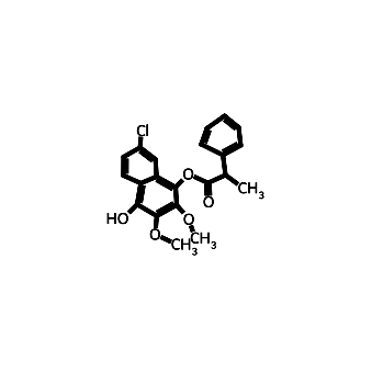 COc1c(OC)c(OC(=O)C(C)c2ccccc2)c2cc(Cl)ccc2c1O